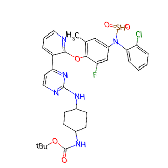 Cc1cc(N(c2ccccc2Cl)[SH](=O)=O)cc(F)c1Oc1ncccc1-c1ccnc(NC2CCC(NC(=O)OC(C)(C)C)CC2)n1